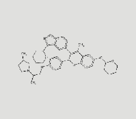 CC1=C(c2ccc3cnn(C4CCCCO4)c3c2)C(c2ccc(OCC(C)N3CCC(C)C3)cc2)Oc2ccc(OC3CCCCO3)cc21